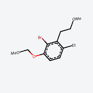 CCc1ccc(OCOC)c(Br)c1CCOC